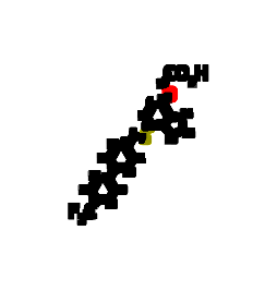 O=C(O)COc1ccc(SCc2ccc(-c3ccc(C(F)(F)F)cc3)cc2)c2c1CCC2